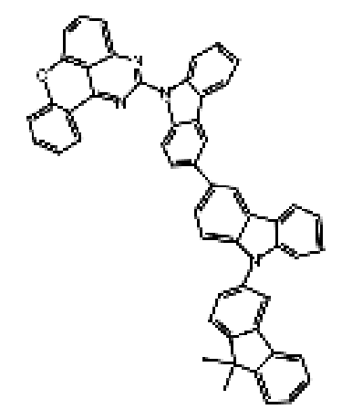 CC1(C)c2ccccc2-c2cc(-n3c4ccccc4c4cc(-c5ccc6c(c5)c5ccccc5n6-c5nc6c7c(cccc7n5)Oc5ccccc5-6)ccc43)ccc21